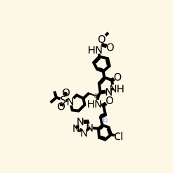 COC(=O)Nc1ccc(-c2cc([C@H](CC3CCCN(S(=O)(=O)C(C)C)C3)NC(=O)/C=C/c3cc(Cl)ccc3-n3cnnn3)n[nH]c2=O)cc1